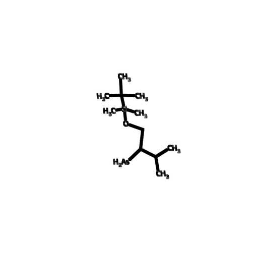 CC(C)C([AsH2])CO[Si](C)(C)C(C)(C)C